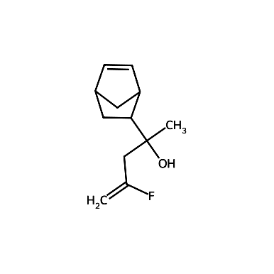 C=C(F)CC(C)(O)C1CC2C=CC1C2